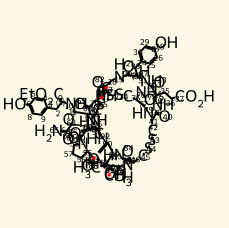 CCOC(=O)[C@H](Cc1ccc(O)cc1)NC(=O)C1CSSCC2NC(=O)[C@H](Cc3ccc(O)cc3)NC(=O)C(CCC(=O)O)NC(=O)C3CSSCC(NC(=O)C(C)NC(=O)C4CCCN4C(=O)[C@H](CC(N)=O)NC(=O)C(CSSCC(N)C(=O)N3)NC2=O)C(=O)NC(C(C)O)C(=O)NCC(=O)N1